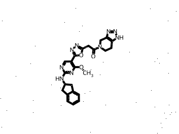 COc1nc(NC2Cc3ccccc3C2)ncc1-c1nnc(CC(=O)N2CCc3[nH]nnc3C2)o1